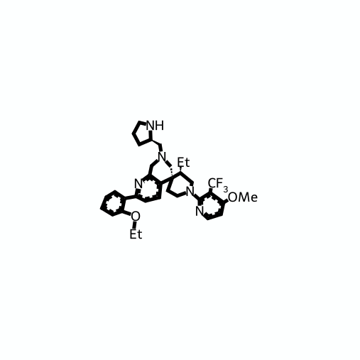 CCOc1ccccc1-c1ccc2c(n1)CN(C[C@H]1CCCN1)C[C@]21CCN(c2nccc(OC)c2C(F)(F)F)C[C@H]1CC